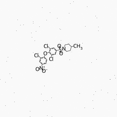 CC1CCN(S(=O)(=O)c2cc(Cl)c(Oc3ccc([N+](=O)[O-])cc3Cl)c(Cl)c2)CC1